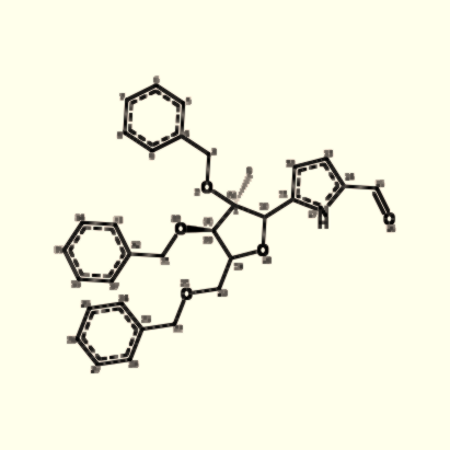 C[C@]1(OCc2ccccc2)C(c2ccc(C=O)[nH]2)OC(COCc2ccccc2)[C@H]1OCc1ccccc1